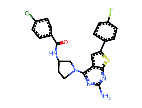 Nc1nc(N2CCC(NC(=O)c3ccc(Cl)cc3)C2)c2cc(-c3ccc(F)cc3)sc2n1